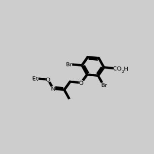 CCO/N=C(/C)COc1c(Br)ccc(C(=O)O)c1Br